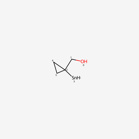 OC[C]1([SnH])CC1